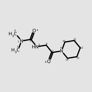 CN(C)C(=O)NCC(=O)N1C[CH]CCC1